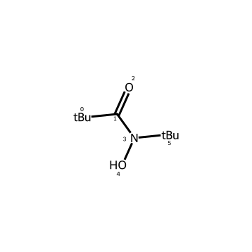 CC(C)(C)C(=O)N(O)C(C)(C)C